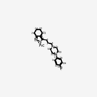 CC(=O)n1nc2c(c1CCCN1CCN(c3ccc(F)cc3)CC1)CCCC2